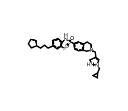 O=S(=O)(Nc1ccc(CCCC2CCCC2)cc1F)c1ccc2c(c1)CCN(CC1=CN(CC3CC3)NC1)C2